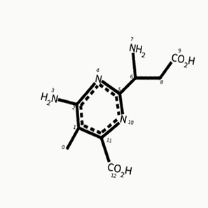 Cc1c(N)nc(C(N)CC(=O)O)nc1C(=O)O